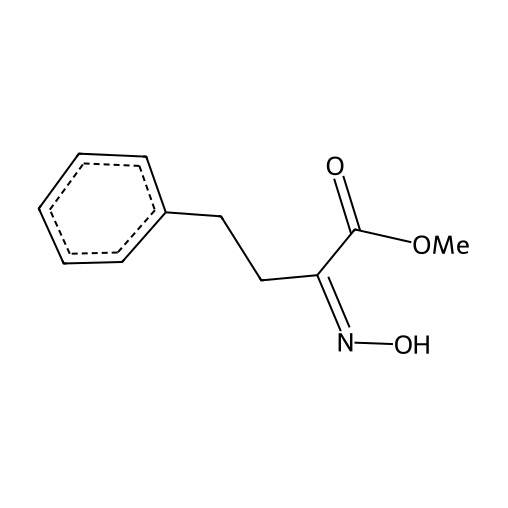 COC(=O)/C(CCc1ccccc1)=N\O